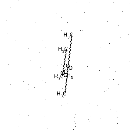 CCCCCCCCCCCCCC(=O)OC(C)C.CCCCCCCCCCCCCCCCCCOC(=O)CCCCCCCCCCCCCCC